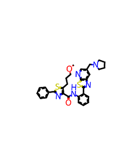 COCCCc1sc(-c2ccccc2)nc1C(=O)Nc1ccccc1-c1nc2cc(CN3CCCC3)cnc2s1